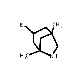 CCC1CC2(C)CNC(C)(C1)C2